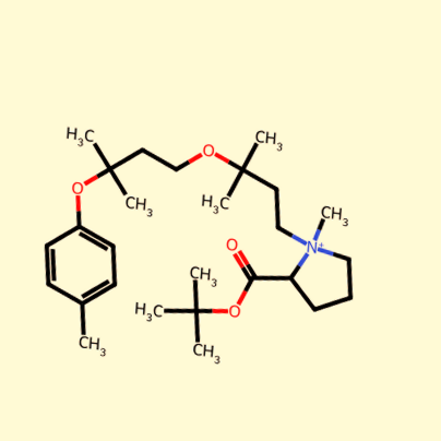 Cc1ccc(OC(C)(C)CCOC(C)(C)CC[N+]2(C)CCCC2C(=O)OC(C)(C)C)cc1